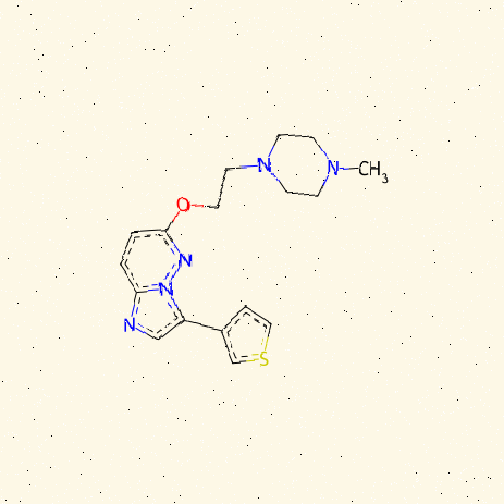 CN1CCN(CCOc2ccc3ncc(-c4ccsc4)n3n2)CC1